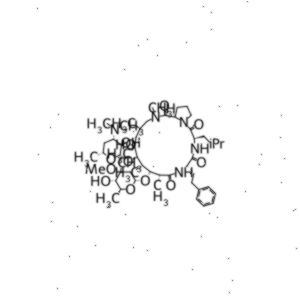 CO[C@]1(C)C[C@H](O[C@@H]2[C@H](C)[C@@H](O[C@@H]3O[C@H](C)C[C@H](N(C)C)[C@H]3O)[C@](C)(O)C[C@@H](C)CN(C)C(=O)[C@H]3CCCN3C(=O)[C@@H](CC(C)C)NC(=O)[C@H](CCc3ccccc3)NC(=O)[C@@H]2C)O[C@@H](C)[C@@H]1O